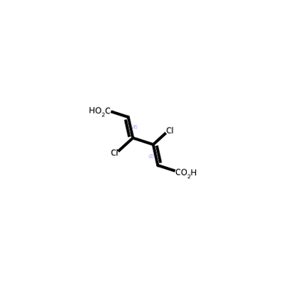 O=C(O)/C=C(Cl)/C(Cl)=C/C(=O)O